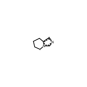 [c]1ncn2c1CCC[CH]2